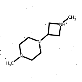 [CH2-][NH+]1CC(N2CCN(C)CC2)C1